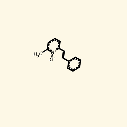 Cc1cccc(C=Cc2ccccc2)[n+]1[O-]